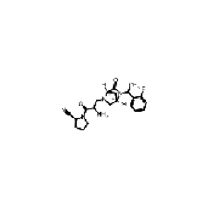 CC(c1ccccc1F)N1C(=O)[C@@H]2C[C@@H]1CN2CC(N)C(=O)N1CCCC1C#N